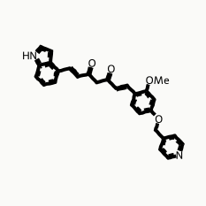 COc1cc(OCc2ccncc2)ccc1C=CC(=O)CC(=O)C=Cc1cccc2[nH]ccc12